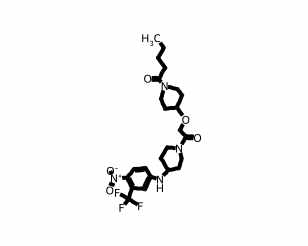 CCCCC(=O)N1CCC(OCC(=O)N2CCC(Nc3ccc([N+](=O)[O-])c(C(F)(F)F)c3)CC2)CC1